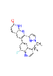 Cc1ccnc2c(F)cc(-c3cc4ccc(=O)[nH]c4nc3-c3ccn(C)n3)cc12